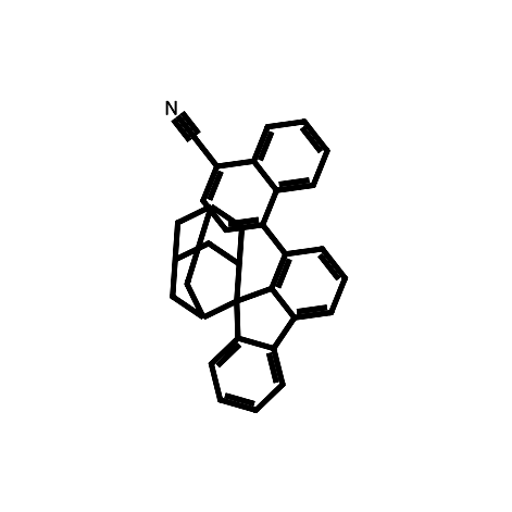 N#Cc1ccc(-c2cccc3c2C2(c4ccccc4-3)C3CC4CC(C3)CC2C4)c2ccccc12